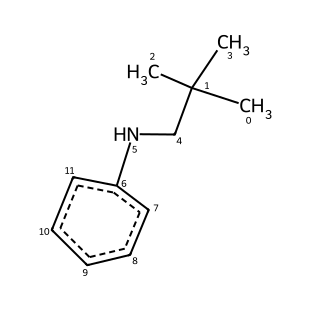 CC(C)(C)CNc1ccccc1